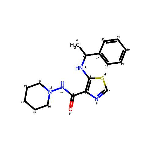 CC(Nc1scnc1C(=O)NN1CCCCC1)c1ccccc1